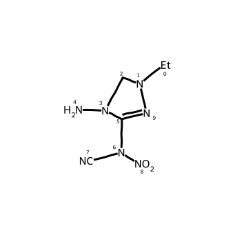 CCN1CN(N)C(N(C#N)[N+](=O)[O-])=N1